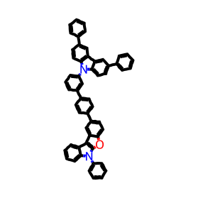 c1ccc(-c2ccc3c(c2)c2cc(-c4ccccc4)ccc2n3-c2cccc(-c3ccc(-c4ccc5oc6c(c5c4)c4ccccc4n6-c4ccccc4)cc3)c2)cc1